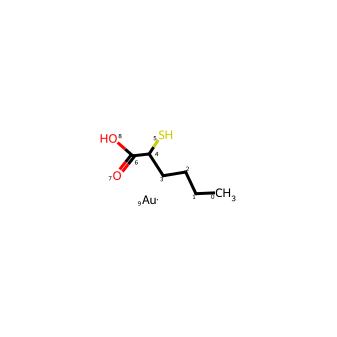 CCCCC(S)C(=O)O.[Au]